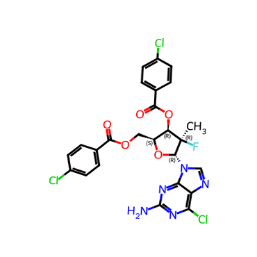 C[C@@]1(F)[C@H](OC(=O)c2ccc(Cl)cc2)[C@H](COC(=O)c2ccc(Cl)cc2)O[C@H]1n1cnc2c(Cl)nc(N)nc21